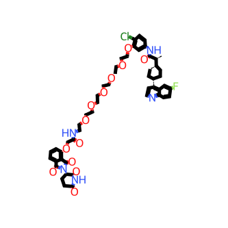 C[C@@H](C(=O)Nc1ccc(Cl)c(OCCOCCOCCOCCOCCOCCNC(=O)COc2cccc3c2C(=O)N(C2CCC(=O)NC2=O)C3=O)c1)[C@H]1CC[C@@H](c2ccnc3ccc(F)cc32)CC1